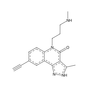 C#Cc1ccc2c(c1)c1n[nH]c(C)c1c(=O)n2CCCNC